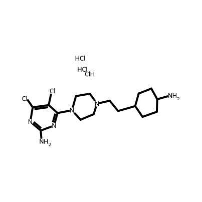 Cl.Cl.Cl.Nc1nc(Cl)c(Cl)c(N2CCN(CCC3CCC(N)CC3)CC2)n1